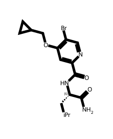 CC(C)C[C@H](NC(=O)c1cc(OCC2CC2)c(Br)cn1)C(N)=O